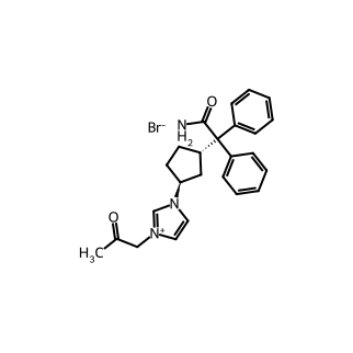 CC(=O)C[n+]1ccn([C@H]2CC[C@H](C(C(N)=O)(c3ccccc3)c3ccccc3)C2)c1.[Br-]